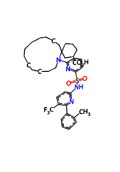 Cc1ccccc1-c1nc(NS(=O)(=O)c2cccc(N3CCCCCCCCCCCCC34CCCC(C(=O)O)C4)n2)ccc1C(F)(F)F